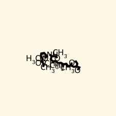 CC(/C=C/C1CC2(CCO1)CO2)=C\CC1OC(C)C(NC(=O)/C=C\C(C)OC(=O)C(C)C)CC1C